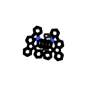 N#Cc1cc(-n2c3ccccc3c3ccc4c(c32)C(c2ccccc2)(c2ccccc2)c2ccccc2-4)c(C#N)c(-n2c3ccccc3c3ccc4c(c32)C(c2ccccc2)(c2ccccc2)c2ccccc2-4)c1